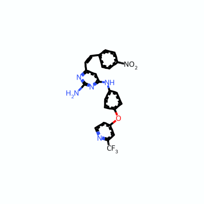 Nc1nc(/C=C\c2ccc([N+](=O)[O-])cc2)cc(Nc2ccc(Oc3ccnc(C(F)(F)F)c3)cc2)n1